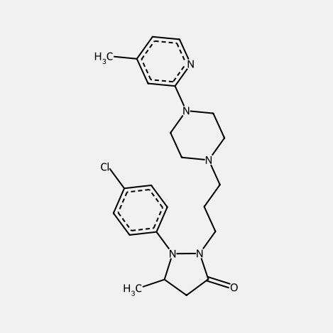 Cc1ccnc(N2CCN(CCCN3C(=O)CC(C)N3c3ccc(Cl)cc3)CC2)c1